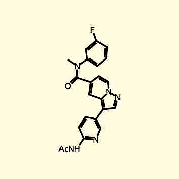 CC(=O)Nc1ccc(-c2cnn3ccc(C(=O)N(C)c4cccc(F)c4)cc23)cn1